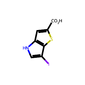 O=C(O)c1cc2[nH]cc(I)c2s1